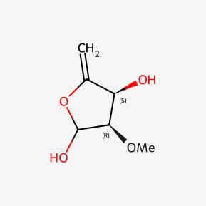 C=C1OC(O)[C@H](OC)[C@@H]1O